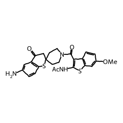 COc1ccc2c(C(=O)N3CCC4(CC3)CC(=O)c3cc(N)ccc3S4)c(NC(C)=O)sc2c1